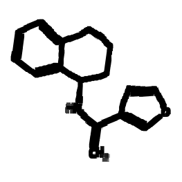 C=C(N[C@@H]1CCCc2ccccc21)c1ccoc1